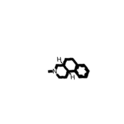 CN1CC[C@H]2c3ccccc3CC[C@@H]2C1